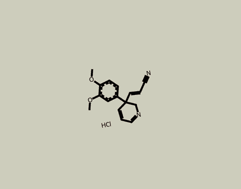 COc1ccc(C2(C=CC#N)C=CC=NC2)cc1OC.Cl